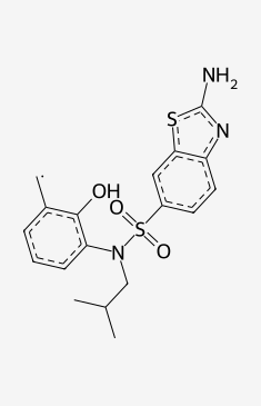 [CH2]c1cccc(N(CC(C)C)S(=O)(=O)c2ccc3nc(N)sc3c2)c1O